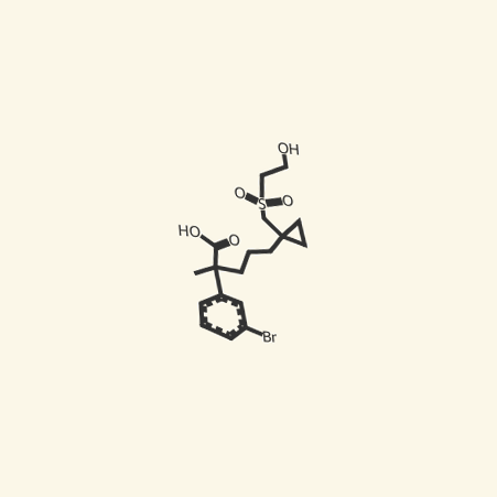 CC(CCCC1(CS(=O)(=O)CCO)CC1)(C(=O)O)c1cccc(Br)c1